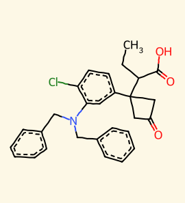 CCC(C(=O)O)C1(c2ccc(Cl)c(N(Cc3ccccc3)Cc3ccccc3)c2)CC(=O)C1